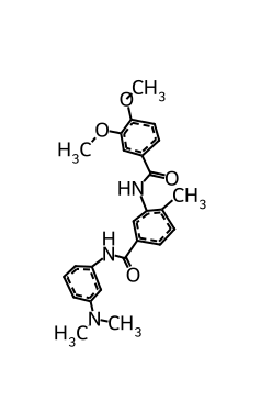 COc1ccc(C(=O)Nc2cc(C(=O)Nc3cccc(N(C)C)c3)ccc2C)cc1OC